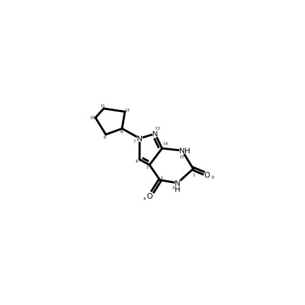 O=c1[nH]c(=O)c2cn(C3CCCC3)nc2[nH]1